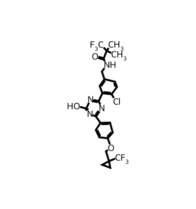 CC(C)(C(=O)NCc1ccc(Cl)c(-c2nc(O)nc(-c3ccc(OCC4(C(F)(F)F)CC4)cc3)n2)c1)C(F)(F)F